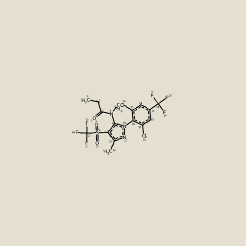 CCC(=O)N(C)c1c(S(=O)(=O)C(F)(F)F)c(C)nn1-c1c(Cl)cc(C(F)(F)F)cc1Cl